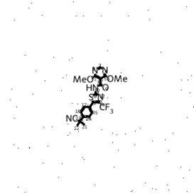 COc1ncnc(OC)c1C(=O)Nc1nc(C(F)(F)F)c(-c2ccc(C(C)(C)C#N)cc2)s1